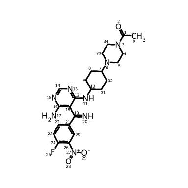 CC(=O)N1CCN(C2CCC(Nc3ncnc(N)c3C(=N)c3ccc(F)c([N+](=O)[O-])c3)CC2)CC1